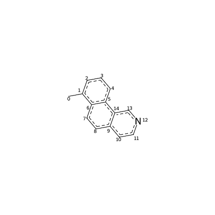 Cc1cccc2c1ccc1ccncc12